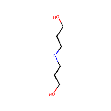 OCCC[N]CCCO